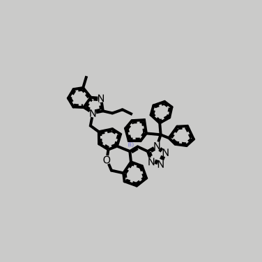 CCCc1nc2c(C)cccc2n1Cc1ccc2c(c1)OCc1ccccc1/C2=C\c1nnnn1C(c1ccccc1)(c1ccccc1)c1ccccc1